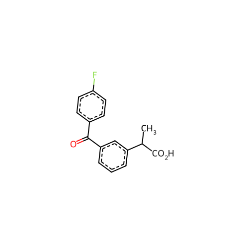 CC(C(=O)O)c1cccc(C(=O)c2ccc(F)cc2)c1